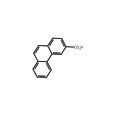 O=C(O)c1ccc2ccc3ccccc3c2c1